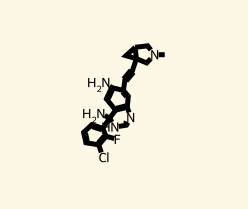 CN1CC2CC2(C#Cc2cc3c(cc2N)C(N)(c2cccc(Cl)c2F)NC=N3)C1